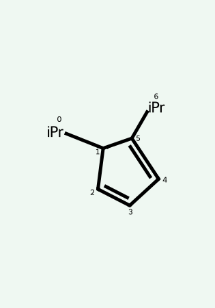 CC(C)[C]1C=CC=C1C(C)C